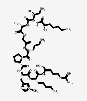 C[C@H](NC(=O)[C@@H](NC(=O)[C@@H](N)CCCCN)[C@@H](O)CN)C(=O)NCC(=O)N[C@H](CCCN)C(=O)N1CCC[C@H]1C(=O)N[C@@H](Cc1cn(C)cn1)C(=O)N[C@@H](CCCCN)C(=O)N/C(=C\CCNC(=N)N)C(=O)O